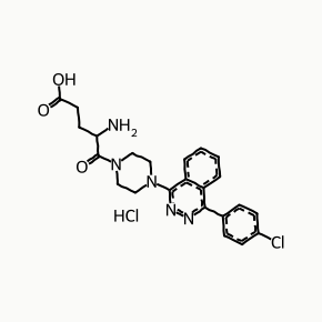 Cl.NC(CCC(=O)O)C(=O)N1CCN(c2nnc(-c3ccc(Cl)cc3)c3ccccc23)CC1